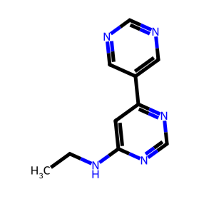 CCNc1cc(-c2cncnc2)ncn1